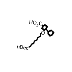 CCCCCCCCCCCCCCCCCCOc1cc(C(=O)O)ccc1-c1ccccc1